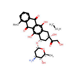 COc1cccc2c1C(=O)c1c(O)c3c(c(O)c1C2=O)C[C@@](O)(C(=O)CO)C[C@@H]3O[C@H]1C[C@H](N)[C@@H](O)[C@H](C)O1.CS(=O)(=O)O